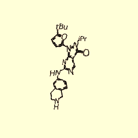 CC(C)n1c(=O)c2cnc(Nc3ccc4c(c3)CCNC4)nc2n1-c1ccc(C(C)(C)C)o1